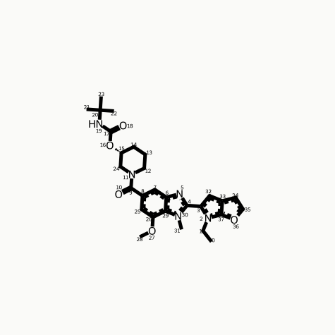 CCn1c(-c2nc3cc(C(=O)N4CCC[C@@H](OC(=O)NC(C)(C)C)C4)cc(OC)c3n2C)cc2ccoc21